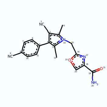 Cc1c(C#N)c(-c2ccc(C#N)cc2)c(C)n1Cc1nc(C(N)=O)co1